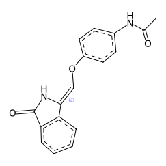 CC(=O)Nc1ccc(O/C=C2\NC(=O)c3ccccc32)cc1